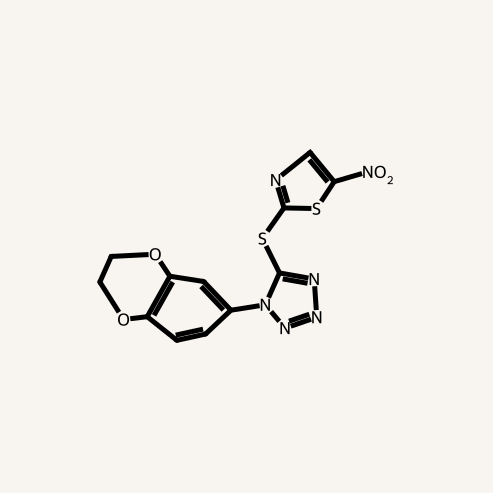 O=[N+]([O-])c1cnc(Sc2nnnn2-c2ccc3c(c2)OCCO3)s1